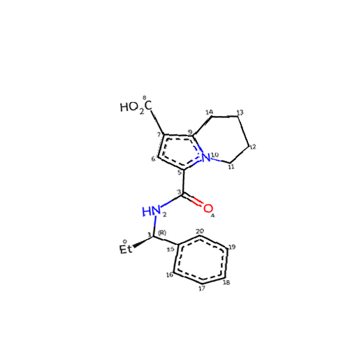 CC[C@@H](NC(=O)c1cc(C(=O)O)c2n1CCCC2)c1ccccc1